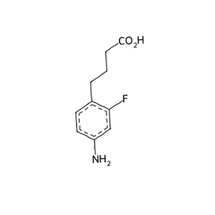 Nc1ccc(CCCC(=O)O)c(F)c1